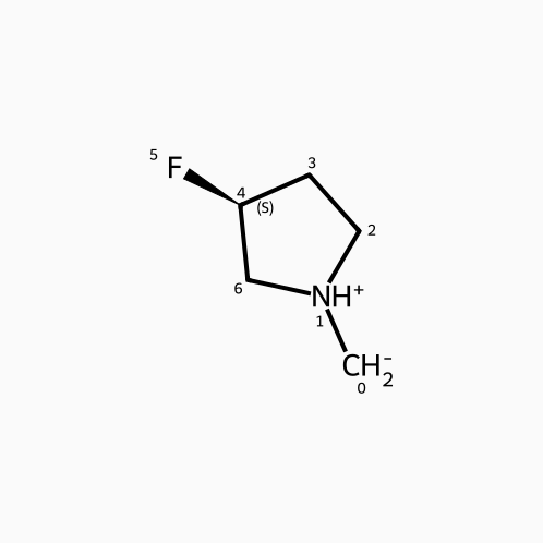 [CH2-][NH+]1CC[C@H](F)C1